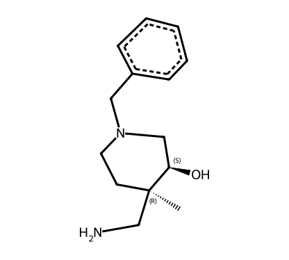 C[C@]1(CN)CCN(Cc2ccccc2)C[C@H]1O